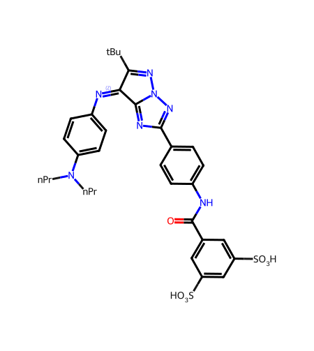 CCCN(CCC)c1ccc(/N=C2/C(C(C)(C)C)=Nn3nc(-c4ccc(NC(=O)c5cc(S(=O)(=O)O)cc(S(=O)(=O)O)c5)cc4)nc32)cc1